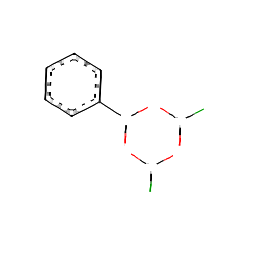 FB1OB(F)OB(c2ccccc2)O1